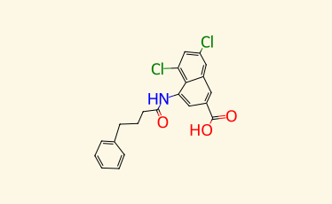 O=C(CCCc1ccccc1)Nc1cc(C(=O)O)cc2cc(Cl)cc(Cl)c12